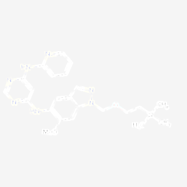 COc1cc2c(cnn2COCC[Si](C)(C)C)cc1Nc1cc(Nc2ccccn2)ncn1